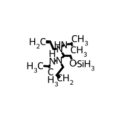 C=CCN(NC(C)C)C(CO[SiH3])N(CC=C)NC(C)C